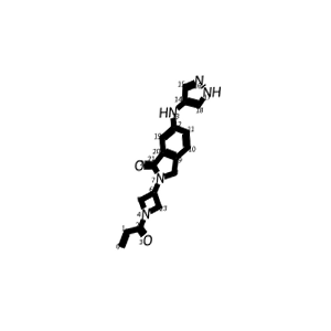 C=CC(=O)N1CC(N2Cc3ccc(Nc4cn[nH]c4)cc3C2=O)C1